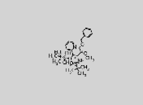 CO[C@H](COCc1ccccc1)[C@H](N[S@+]([O-])C(C)(C)C)C(O[Si](C)(C)C(C)(C)C)c1ccccn1